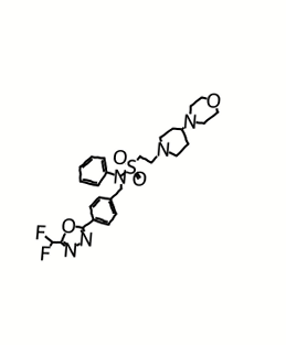 O=S(=O)(CCN1CCC(N2CCOCC2)CC1)N(Cc1ccc(-c2nnc(C(F)F)o2)cc1)c1ccccc1